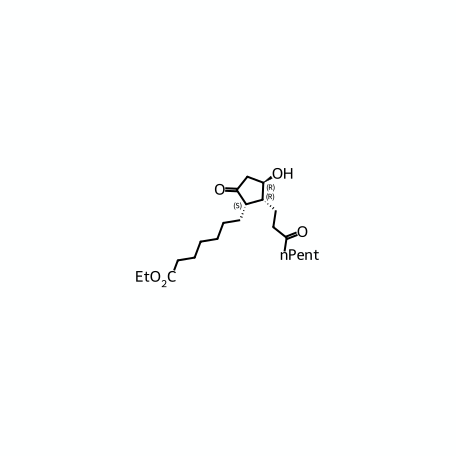 CCCCCC(=O)CC[C@H]1[C@H](O)CC(=O)[C@H]1CCCCCCC(=O)OCC